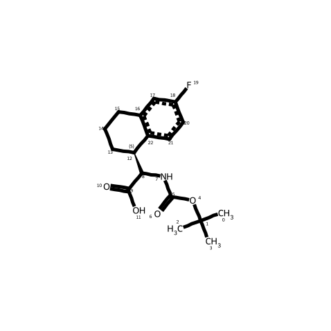 CC(C)(C)OC(=O)NC(C(=O)O)[C@H]1CCCc2cc(F)ccc21